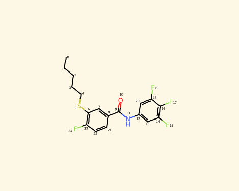 CCCCCSc1cc(C(=O)Nc2cc(F)c(F)c(F)c2)ccc1F